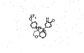 O=C(N[C@]1(c2ccc(OC(F)(F)F)cc2)CCOc2cccnc21)c1ccc(=O)[nH]c1